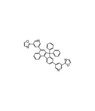 c1ccc(C2(c3ccccc3)c3cc(-c4cncc(-c5ncco5)c4)ccc3-c3c2cc(-c2cncc(-c4ncco4)c2)c2ccccc32)cc1